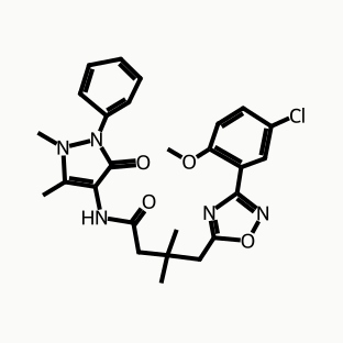 COc1ccc(Cl)cc1-c1noc(CC(C)(C)CC(=O)Nc2c(C)n(C)n(-c3ccccc3)c2=O)n1